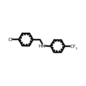 FC(F)(F)c1c[c]c(NCc2ccc(Cl)cc2)cc1